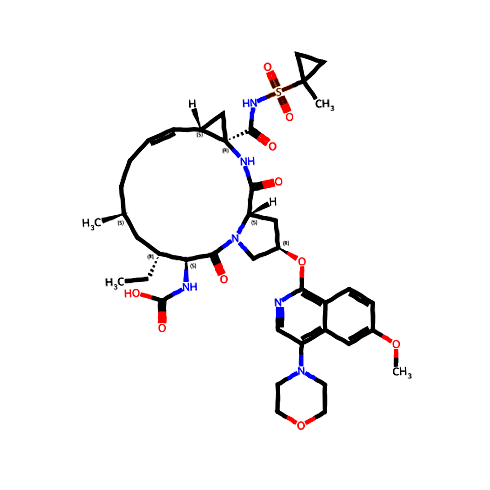 CC[C@@H]1C[C@@H](C)CCC=C[C@@H]2C[C@@]2(C(=O)NS(=O)(=O)C2(C)CC2)NC(=O)[C@@H]2C[C@@H](Oc3ncc(N4CCOCC4)c4cc(OC)ccc34)CN2C(=O)[C@H]1NC(=O)O